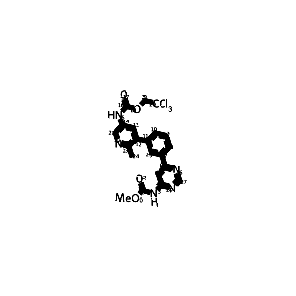 COC(=O)Nc1cc(-c2cccc(-c3cc(NC(=O)OCC(Cl)(Cl)Cl)cnc3C)c2)ncn1